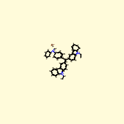 CCn1c2ccccc2c2cc(C(c3ccc(N(C)c4ccccc4)cc3)=c3ccc4c(c3)-c3ccccc3[N+]=4CC)ccc21.[Br-]